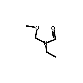 CCN([C]=O)COC